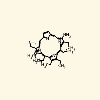 CCC1=C(CC)c2nc1c(CC)c1[nH]c(cc3nc(cc4c(CC)c(CC)c(c2CC)n4CC)C=C3)c(N)c1CC